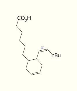 CCCC/C=C\C1CC=CCC1CCCCCC(=O)O